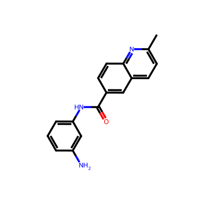 Cc1ccc2cc(C(=O)Nc3cccc(N)c3)ccc2n1